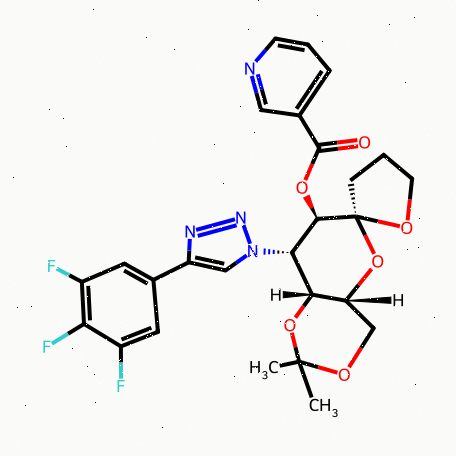 CC1(C)OC[C@H]2O[C@@]3(CCCO3)[C@H](OC(=O)c3cccnc3)[C@@H](n3cc(-c4cc(F)c(F)c(F)c4)nn3)[C@H]2O1